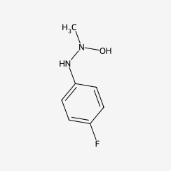 CN(O)Nc1ccc(F)cc1